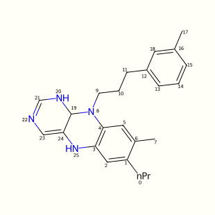 CCCc1cc2c(cc1C)N(CCCc1cccc(C)c1)C1NC=NC=C1N2